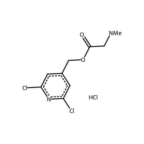 CNCC(=O)OCc1cc(Cl)nc(Cl)c1.Cl